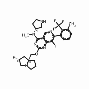 Cc1cccc(-c2ncc3c(N(C)[C@@H]4CCNC4)nc(OC[C@@]45CCCN4C[C@H](F)C5)nc3c2F)c1C(F)(F)F